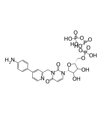 Nc1ccc(-c2ccnc(Cn3c(=O)ccn([C@@H]4O[C@H](COP(=O)(O)OP(=O)(O)OP(=O)(O)O)C(O)C4O)c3=O)c2)cc1